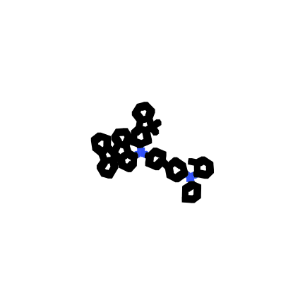 Cc1ccccc1N(c1ccccc1)c1ccc(-c2ccc(N(c3ccc4c(c3)C(C)(C)c3ccccc3-4)c3cccc4c3-c3ccccc3C43c4ccccc4-c4ccccc43)cc2)cc1